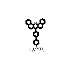 CP(C)c1ccc(-c2ccc(-c3c4ccc5ccccc5c4nc4c3ccc3ccccc34)cc2)cc1